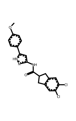 COc1ccc(-c2cc(NC(=O)C3Cc4cc(Cl)c(Cl)cc4C3)n[nH]2)cc1